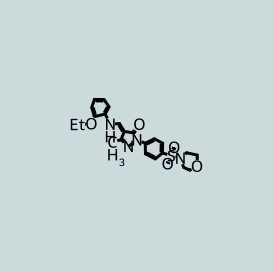 CCOc1ccccc1NC=C1C(=O)N(c2ccc(S(=O)(=O)N3CCOCC3)cc2)N=C1C